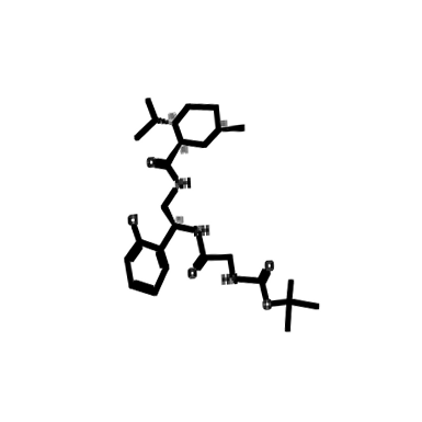 CC(C)[C@@H]1CC[C@@H](C)C[C@H]1C(=O)NC[C@@H](NC(=O)CNC(=O)OC(C)(C)C)c1ccccc1Cl